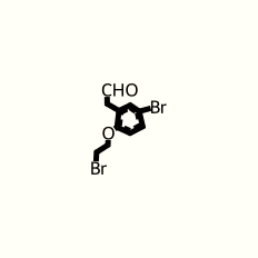 O=CCc1cc(Br)ccc1OCCBr